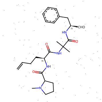 C=CCC[C@H](NC(=O)C1CCCN1C)C(=O)NC(C)(C)C(=O)N[C@H](C=O)Cc1ccccc1